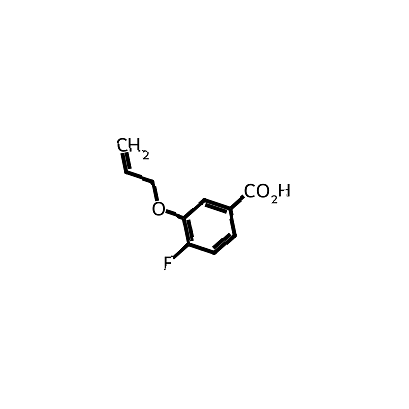 C=CCOc1cc(C(=O)O)ccc1F